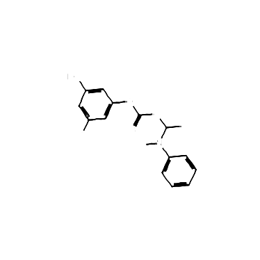 Cc1cc(C)cc(OC(=O)OC(C)N(C)c2ccccc2)c1